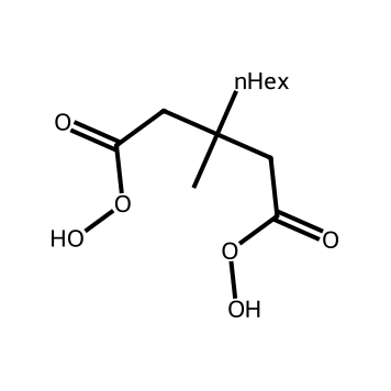 CCCCCCC(C)(CC(=O)OO)CC(=O)OO